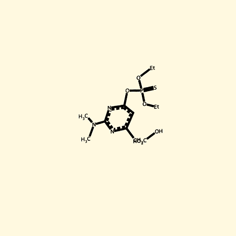 CCOP(=S)(OCC)Oc1cc(C)nc(N(C)C)n1.O=C(O)O